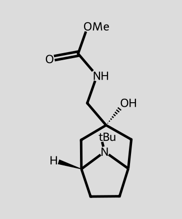 COC(=O)NC[C@@]1(O)CC2CC[C@H](C1)N2C(C)(C)C